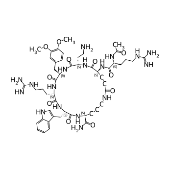 COc1ccc(C[C@H]2NC(=O)[C@H](CCN)NC(=O)[C@@H](NC(=O)[C@H](CCCNC(=N)N)NC(C)=O)CCC(=O)NCCC[C@@H](C(N)=O)NC(=O)[C@H](Cc3c[nH]c4ccccc34)NC(=O)[C@H](CCCNC(=N)N)NC2=O)cc1OC